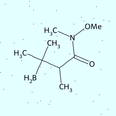 BC(C)(C)C(C)C(=O)N(C)OC